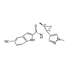 C[C@H]1C[C@@]1(NC(=O)c1cc2cc(C#N)ccc2[nH]1)c1cnn(C)c1